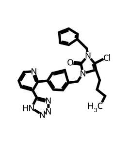 CCCCc1c(Cl)n(Cc2ccccc2)c(=O)n1Cc1ccc(-c2ncccc2-c2nnn[nH]2)cc1